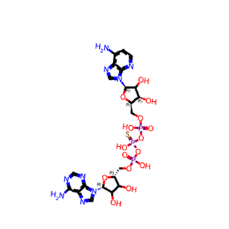 Nc1ncnc2c1ncn2[C@@H]1O[C@H](COP(=O)(O)OP(O)(=S)OP(=O)(O)OC[C@H]2O[C@@H](n3cnc4c(N)ccnc43)C(O)[C@H]2O)C(O)C1O